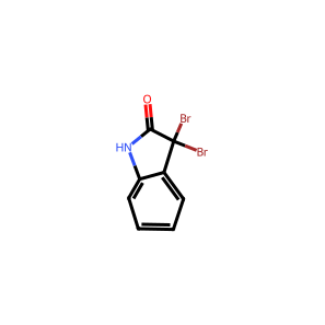 O=C1Nc2ccccc2C1(Br)Br